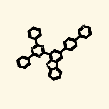 c1ccc(-c2nc(-c3ccccc3)nc(-c3cc(-c4ccc(-c5cccnc5)cc4)cc4c3sc3ccccc34)n2)cc1